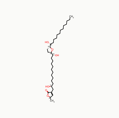 CCCCCCCCCCCC[C@@H](O)[C@H]1CC[C@H]([C@H](O)CCCCCCCCCC[C@H](O)CC2=C[C@@H](C)OC2=O)O1